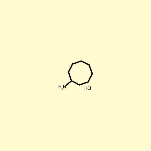 Cl.NC1CCCCCCC1